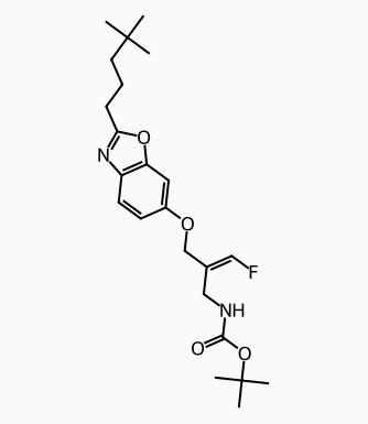 CC(C)(C)CCCc1nc2ccc(OCC(=CF)CNC(=O)OC(C)(C)C)cc2o1